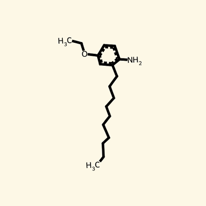 CCCCCCCCCCc1cc(OCC)ccc1N